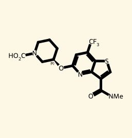 CNC(=O)c1csc2c(C(F)(F)F)cc(O[C@@H]3CCCN(C(=O)O)C3)nc12